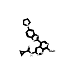 CNc1ncc(-c2nc3cc(N4CCCC4)ccc3o2)c2cc(NC(=O)C3CC3)nnc12